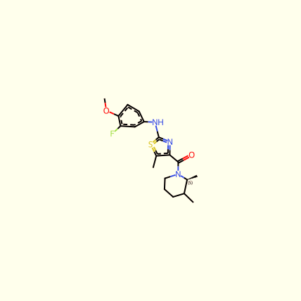 COc1ccc(Nc2nc(C(=O)N3CCCC(C)[C@@H]3C)c(C)s2)cc1F